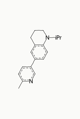 Cc1ccc(-c2ccc3c(c2)CCCN3C(C)C)cn1